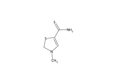 CN1C=C(C(N)=S)SC1